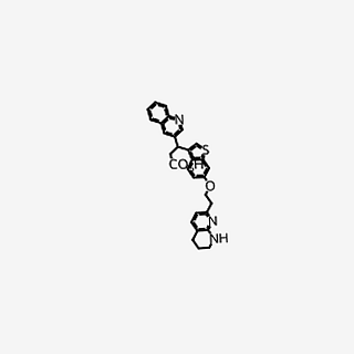 O=C(O)CC(c1cnc2ccccc2c1)c1csc2cc(OCCc3ccc4c(n3)NCCC4)ccc12